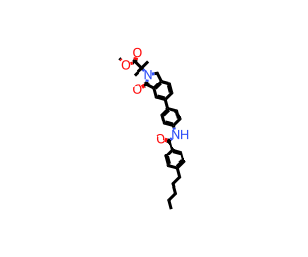 CCCCCc1ccc(C(=O)Nc2ccc(-c3ccc4c(c3)C(=O)N(C(C)(C)C(=O)OC)C4)cc2)cc1